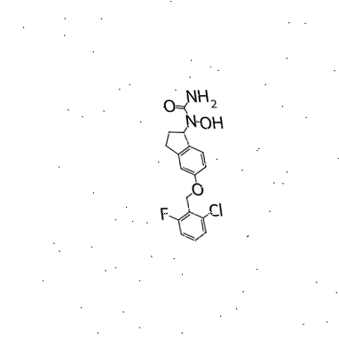 NC(=O)N(O)C1CCc2cc(OCc3c(F)cccc3Cl)ccc21